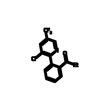 CCC(=O)c1ccccc1-c1ncc(C(F)(F)F)cc1Cl